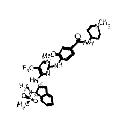 COc1cc(C(=O)NC2CCN(C)CC2)ccc1Nc1ncc(C(F)(F)F)c(N[C@@H]2Cc3ccccc3[C@H]2N(C)S(C)(=O)=O)n1